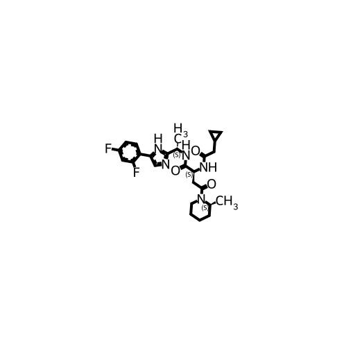 C[C@H](NC(=O)[C@H](CC(=O)N1CCCC[C@@H]1C)NC(=O)CC1CC1)c1ncc(-c2ccc(F)cc2F)[nH]1